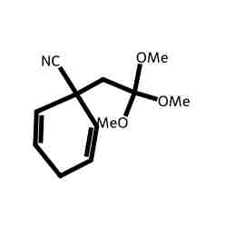 COC(CC1(C#N)C=CCC=C1)(OC)OC